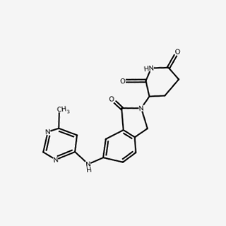 Cc1cc(Nc2ccc3c(c2)C(=O)N(C2CCC(=O)NC2=O)C3)ncn1